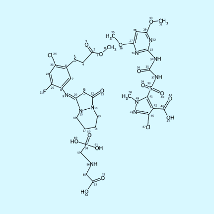 COC(=O)CSc1cc(/N=c2\sc(=O)n3n2CCCC3)c(F)cc1Cl.COc1cc(OC)nc(NC(=O)NS(=O)(=O)c2c(C(=O)O)c(Cl)nn2C)n1.O=C(O)CNCP(=O)(O)O